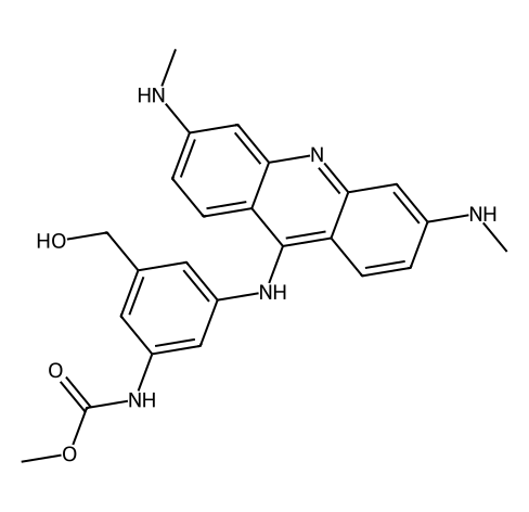 CNc1ccc2c(Nc3cc(CO)cc(NC(=O)OC)c3)c3ccc(NC)cc3nc2c1